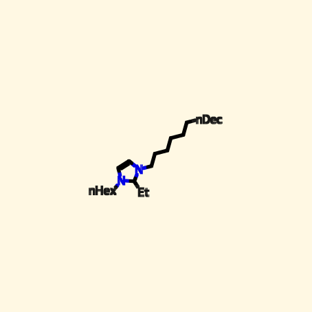 CCCCCCCCCCCCCCCCN1C=CN(CCCCCC)C1CC